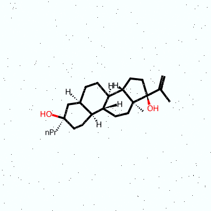 C=C(C)[C@@]1(O)CC[C@H]2[C@@H]3CC[C@@H]4C[C@@](O)(CCC)CC[C@@H]4[C@H]3CC[C@@]21C